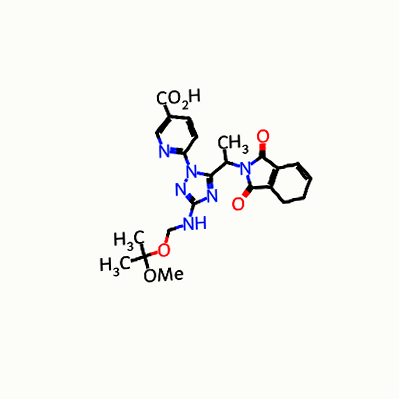 COC(C)(C)OCNc1nc(C(C)N2C(=O)C3=C(CCC=C3)C2=O)n(-c2ccc(C(=O)O)cn2)n1